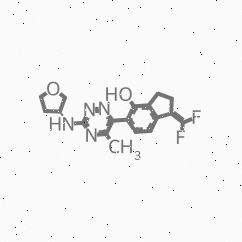 Cc1nc(N[C@@H]2CCOC2)nnc1-c1ccc2c(c1O)CCC2=C(F)F